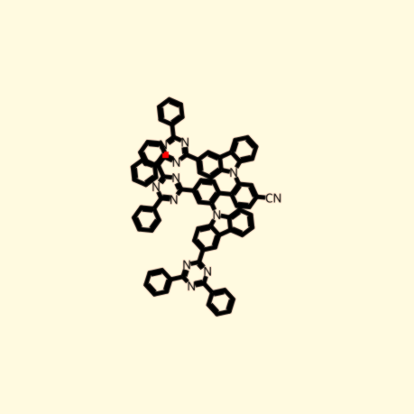 N#Cc1ccc(-c2ccc(-c3nc(-c4ccccc4)nc(-c4ccccc4)n3)cc2-n2c3ccccc3c3cc(-c4nc(-c5ccccc5)nc(-c5ccccc5)n4)ccc32)c(-n2c3ccccc3c3cc(-c4nc(-c5ccccc5)nc(-c5ccccc5)n4)ccc32)c1